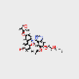 COCCOc1cc2ncnc(Nc3ccc(O[C@@H]4CCOC4)cc3C3=CC(=O)C=CC3=O)c2cc1OC